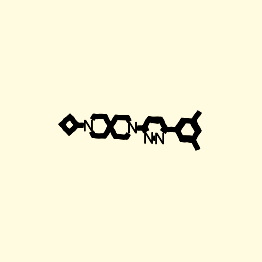 Cc1cc(C)cc(-c2ccc(N3CCC4(CC3)CCN(C3CCC3)CC4)nn2)c1